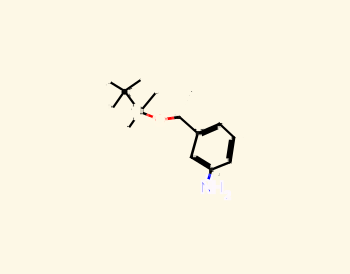 C[C@@H](O[Si](C)(C)C(C)(C)C)c1cccc(N)c1